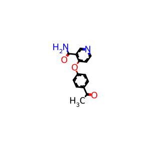 CC(=O)c1ccc(Oc2ccncc2C(N)=O)cc1